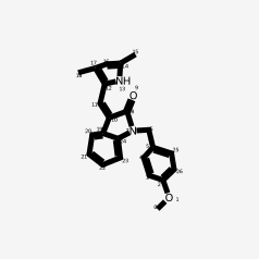 COc1ccc(CN2C(=O)C(=Cc3[nH]c(C)cc3C)c3ccccc32)cc1